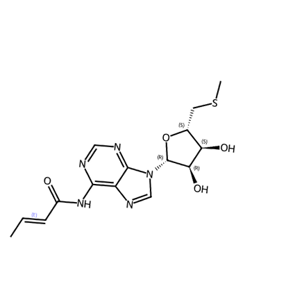 C/C=C/C(=O)Nc1ncnc2c1ncn2[C@@H]1O[C@H](CSC)[C@@H](O)[C@H]1O